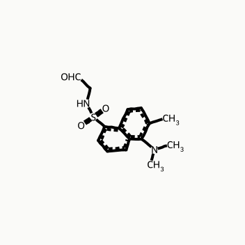 Cc1ccc2c(S(=O)(=O)NCC=O)cccc2c1N(C)C